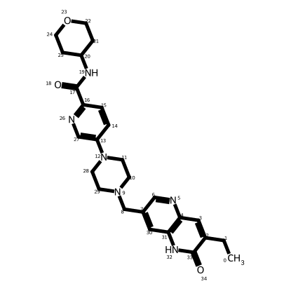 CCc1cc2ncc(CN3CCN(c4ccc(C(=O)NC5CCOCC5)nc4)CC3)cc2[nH]c1=O